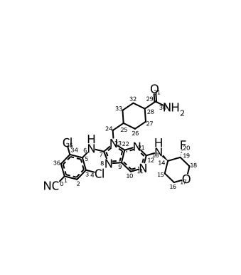 N#Cc1cc(Cl)c(Nc2nc3cnc(N[C@@H]4CCOC[C@H]4F)nc3n2CC2CCC(C(N)=O)CC2)c(Cl)c1